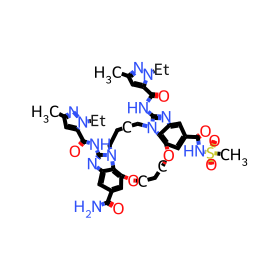 CCn1nc(C)cc1C(=O)Nc1nc2cc(C(N)=O)cc3c2n1CCCCn1c(NC(=O)c2cc(C)nn2CC)nc2cc(C(=O)NS(C)(=O)=O)cc(c21)OCCCO3